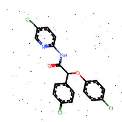 O=C(Nc1ccc(Cl)cn1)C(Oc1ccc(Cl)cc1)c1ccc(Cl)cc1